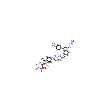 NCCCn1cc(-c2ccc(OC(F)(F)F)cc2)c2cc(CN3CC4CN(c5ccc6c(c5)C(=O)N(C5CCC(=O)NC5=O)C6=O)CC4C3)ccc21